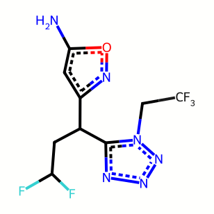 Nc1cc(C(CC(F)F)c2nnnn2CC(F)(F)F)no1